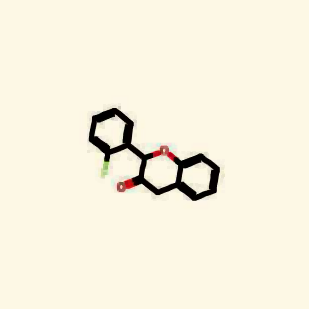 O=C1Cc2ccccc2OC1c1ccccc1F